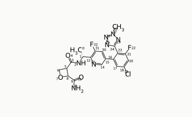 C[C@@H](NC(=O)C1COC1C(N)=O)c1ncc(-c2cc(Cl)cc(F)c2-c2nnn(C)n2)cc1F